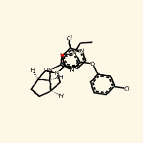 CCn1nc(N[C@H]2[C@@H]3CC[C@H]2CN(c2ccnc(Cl)c2)C3)nc1Oc1cccc(Cl)c1